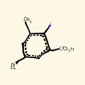 CCc1cc(C)c(I)c(C(=O)O)c1